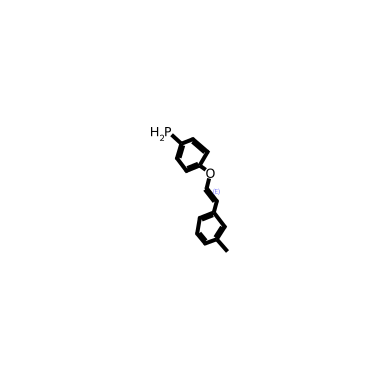 Cc1cccc(/C=C/Oc2ccc(P)cc2)c1